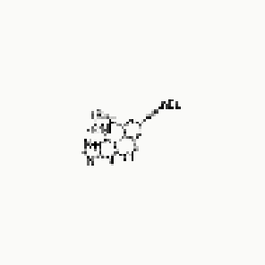 CCCCC#Cc1cc(F)c(-c2c(Cl)nc3ncnn3c2N[C@H](C)C(C)(C)C)c(F)c1